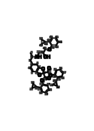 CC(Cc1ccc2c(c1)OC(C(=O)Oc1ccccc1C1CC1)(C(=O)Oc1ccccc1C1CC1)O2)NCC(O)COc1ccccc1C1CC1